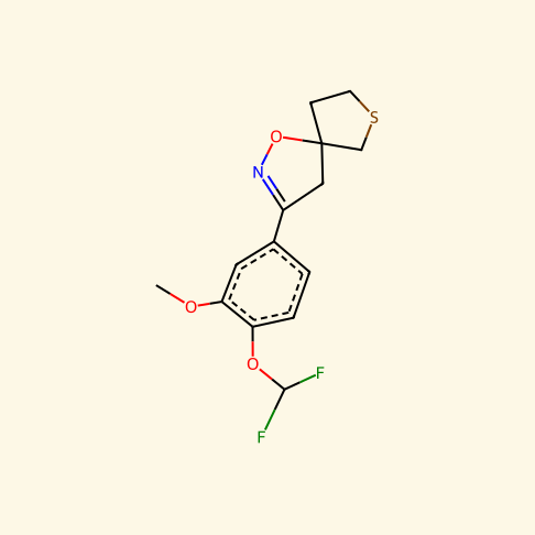 COc1cc(C2=NOC3(CCSC3)C2)ccc1OC(F)F